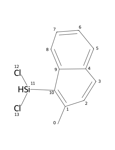 Cc1ccc2ccccc2c1[SiH](Cl)Cl